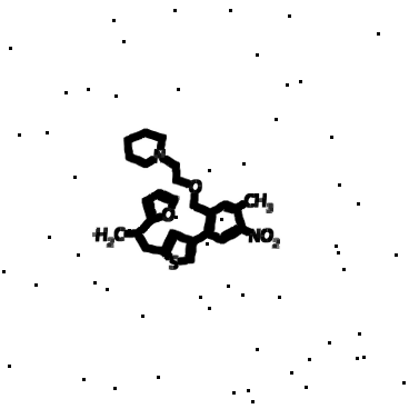 [CH2]C(Cc1cc(-c2cc([N+](=O)[O-])c(C)cc2COCCN2CCCCC2)cs1)c1ccco1